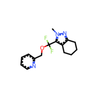 Cn1nc2c(c1C(F)(F)OCc1ccccn1)CCCC2